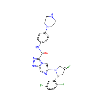 O=C(Nc1ccc(N2CCNCC2)cc1)c1nnc2cnc(N3C[C@@H](F)C[C@@H]3c3cc(F)ccc3F)cn12